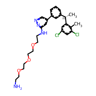 Cc1c(Cl)cc(Cl)cc1[C@@H](C)c1cccc(-c2cnnc(NCCOCCOCCOCCN)c2)c1